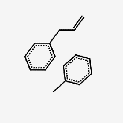 C=CCc1ccccc1.Cc1ccccc1